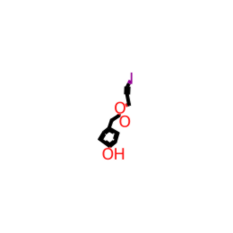 O=C(Cc1ccc(O)cc1)OCC#CI